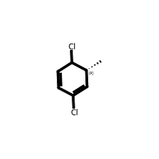 C[C@@H]1C=C(Cl)C=CC1Cl